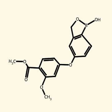 COC(=O)c1ccc(Oc2ccc3c(c2)COB3O)cc1OC